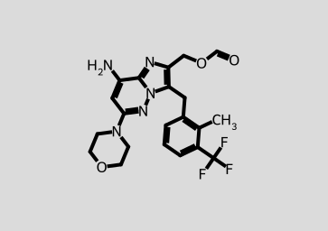 Cc1c(Cc2c(COC=O)nc3c(N)cc(N4CCOCC4)nn23)cccc1C(F)(F)F